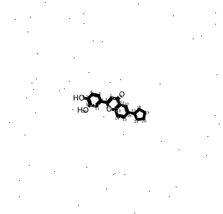 O=c1cc(-c2ccc(O)c(O)c2)oc2ccc(C3CCCC3)cc12